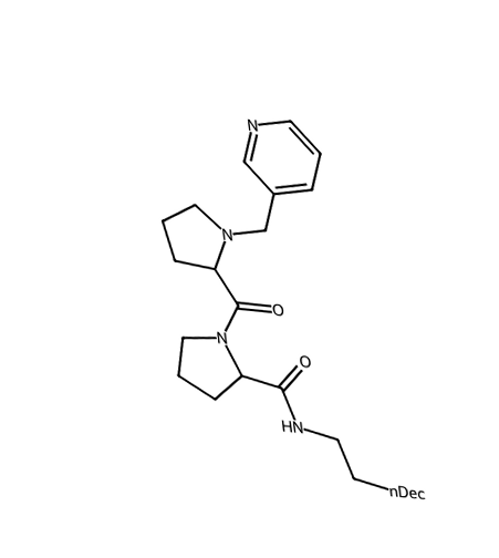 CCCCCCCCCCCCNC(=O)C1CCCN1C(=O)C1CCCN1Cc1cccnc1